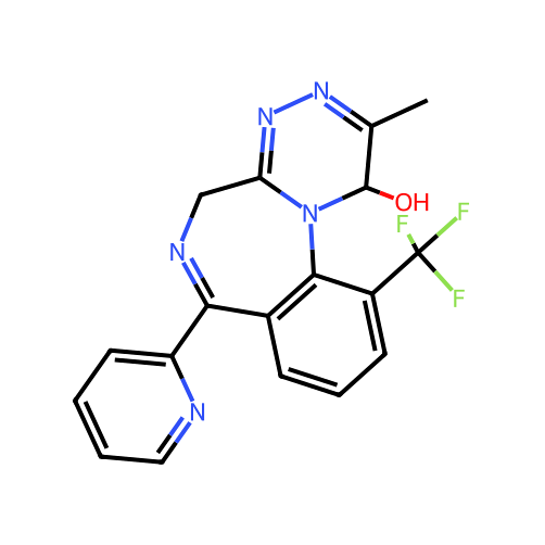 CC1=NN=C2CN=C(c3ccccn3)c3cccc(C(F)(F)F)c3N2C1O